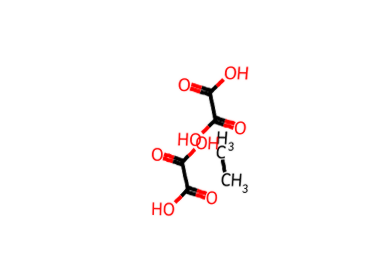 CC.O=C(O)C(=O)O.O=C(O)C(=O)O